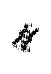 CC(C)(C)[C@@H]1[C@H](Oc2ccc(-c3ncnc(Nc4ccc(N5CCN(C6COC6)CC5)cc4)n3)cc2C#N)CCN1C(=O)O.N#Cc1cc(-c2ncnc(Nc3ccc(N4CCN(C5COC5)CC4)cc3)n2)ccc1OC1CCNC1